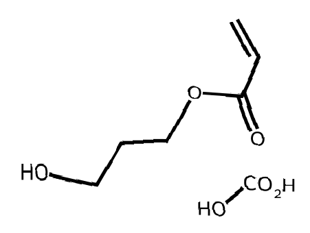 C=CC(=O)OCCCO.O=C(O)O